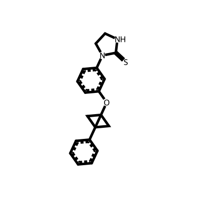 S=C1NCCN1c1cccc(OC23CC2(c2ccccc2)C3)c1